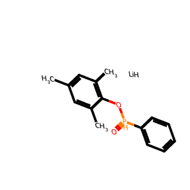 Cc1cc(C)c(O[PH](=O)c2ccccc2)c(C)c1.[LiH]